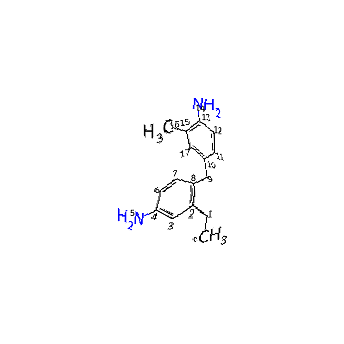 CCc1cc(N)ccc1Cc1ccc(N)c(C)c1